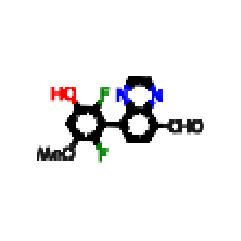 COc1cc(O)c(F)c(-c2ccc(C=O)c3nccnc23)c1F